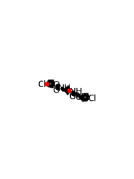 O=C(COc1ccc(Cl)cc1)NC12CC(CNC(=O)Oc3ccc(Cl)cc3)(C1)C2